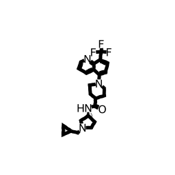 O=C(N[C@H]1CCN(CC2CC2)C1)C1CCN(c2ccc(C(F)(F)F)c3ncccc23)CC1